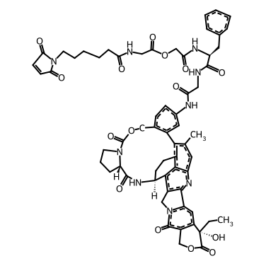 CC[C@@]1(O)C(=O)OCc2c1cc1n(c2=O)Cc2c-1nc1cc(C)c3c4c1c2[C@H](CC4)NC(=O)[C@@H]1CCCN1C(=O)OCc1ccc(NC(=O)CNC(=O)[C@H](Cc2ccccc2)NC(=O)COC(=O)CNC(=O)CCCCCN2C(=O)C=CC2=O)cc1-3